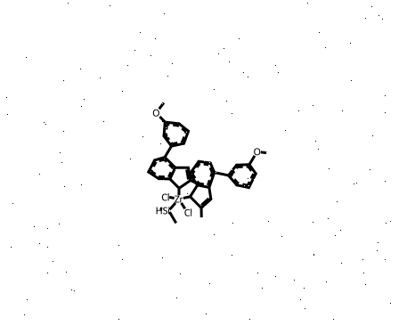 COc1cccc(-c2cccc3c2C=C(C)[CH]3[Zr]([Cl])([Cl])([CH]2C(C)=Cc3c(-c4cccc(OC)c4)cccc32)[SiH](C)C)c1